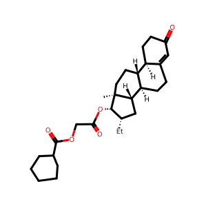 CC[C@H]1C[C@H]2[C@@H]3CCC4=CC(=O)CC[C@@H]4[C@H]3CC[C@]2(C)[C@H]1OC(=O)COC(=O)C1CCCCC1